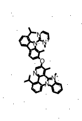 Cc1c(Oc2ccc3c4cccc(C(C)C)c4n(-c4nccc[n+]4C)c3c2C)cnc2c3c(C(C)C)cccc3n3c4ccccc4[n+](C)c3c12